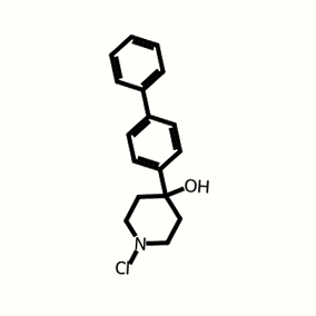 OC1(c2ccc(-c3ccccc3)cc2)CCN(Cl)CC1